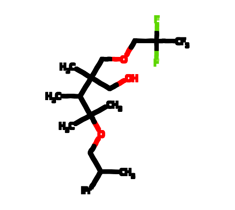 CC(C)C(C)COC(C)(C)C(C)C(C)(CO)COCC(F)(F)C(F)(F)F